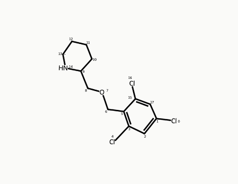 Clc1cc(Cl)c(COCC2CCC[CH]N2)c(Cl)c1